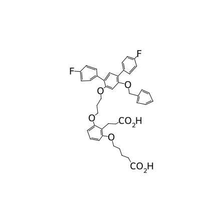 O=C(O)CCCCOc1cccc(OCCCOc2cc(OCc3ccccc3)c(-c3ccc(F)cc3)cc2-c2ccc(F)cc2)c1CCC(=O)O